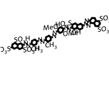 COc1cc(N=Nc2c(S(=O)(=O)O)cc3cc(-n4nc5ccc6c(S(=O)(=O)O)cc(S(=O)(=O)O)cc6c5n4)ccc3c2O)c(OC)cc1N=Nc1ccc(N=Nc2ccc(N=Nc3cc4c(S(=O)(=O)O)cc(S(=O)(=O)O)cc4cc3S(=O)(=O)O)c(C)c2)c(C)c1